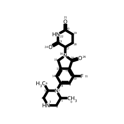 CC1CNCC(C)N1c1cc(F)c2c(c1)CN(C1CCC(=O)NC1=O)C2=O